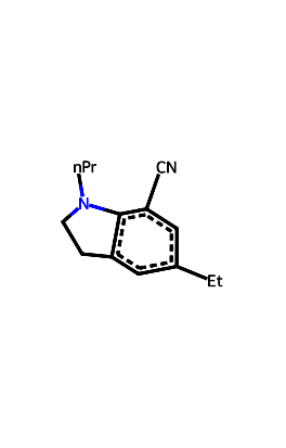 CCCN1CCc2cc(CC)cc(C#N)c21